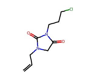 C=CCN1CC(=O)N(CCCCl)C1=O